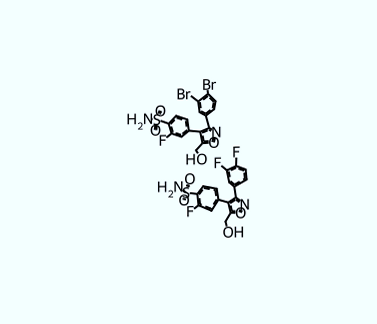 NS(=O)(=O)c1ccc(-c2c(-c3ccc(Br)c(Br)c3)noc2CO)cc1F.NS(=O)(=O)c1ccc(-c2c(-c3ccc(F)c(F)c3)noc2CO)cc1F